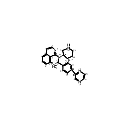 Cc1cccc2ccnc(N(C(=O)c3ccc(-c4cnccn4)cc3F)[C@@H]3CCCNC3)c12